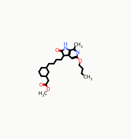 CCCCOc1cc2c(c(C)n1)NC(=O)C2CCCCC1CCCC(CC(=O)OC)C1